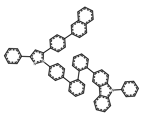 c1ccc(-c2cc(-c3ccc(-c4ccc5ccccc5c4)cc3)n(-c3ccc(-c4ccccc4-c4ccccc4-c4ccc5c(c4)c4ccccc4n5-c4ccccc4)cc3)n2)cc1